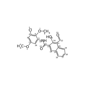 COc1cc(Cl)c(OC)c(NC(=O)c2cc3ccccc3c(C=O)c2O)c1